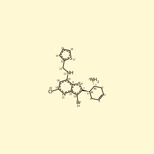 N[C@@H]1CC=CC[C@H]1c1sc2c(NCc3cccs3)cc(Cl)nc2c1Br